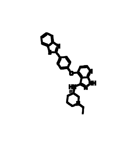 CCN1CCC[C@@H](Nc2n[nH]c3nccc(Oc4ccc(-c5nc6ccccc6s5)cc4)c23)C1